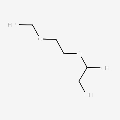 CCOCCOC(C)CO